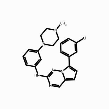 CN1CCN(c2cccc(Nc3ncc4ccc(-c5cccc(Cl)c5)n4n3)c2)CC1